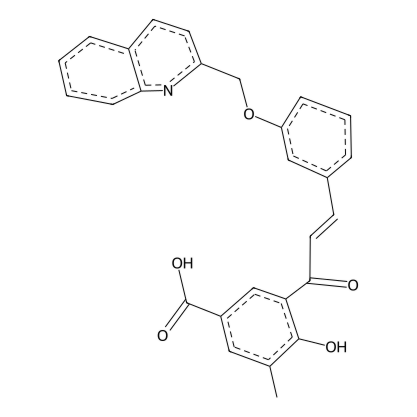 Cc1cc(C(=O)O)cc(C(=O)C=Cc2cccc(OCc3ccc4ccccc4n3)c2)c1O